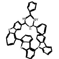 c1ccc(C2NC(c3ccccc3)NC(c3ccc4oc5cccc(-c6cccc7c6sc6cccc(-n8c9ccccc9c9ccccc98)c67)c5c4c3)N2)cc1